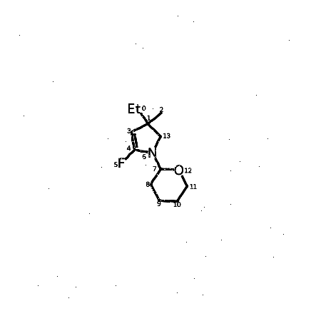 CCC1(C)C=C(F)N(C2CCCCO2)C1